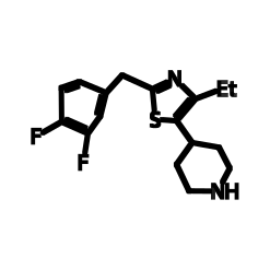 CCc1nc(Cc2ccc(F)c(F)c2)sc1C1CCNCC1